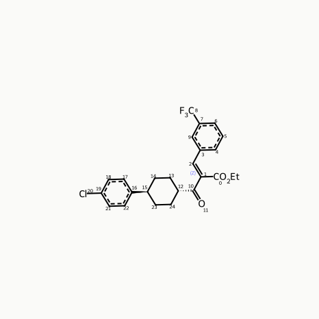 CCOC(=O)/C(=C\c1cccc(C(F)(F)F)c1)C(=O)[C@H]1CC[C@H](c2ccc(Cl)cc2)CC1